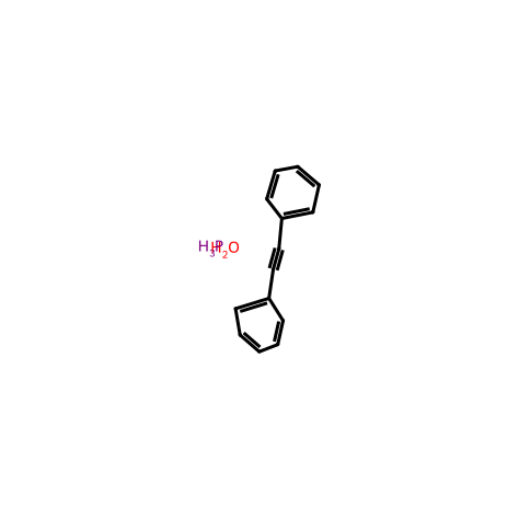 C(#Cc1ccccc1)c1ccccc1.O.P